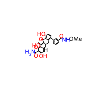 COCCNC(=O)c1cccc(-c2ccc(O)c3c2CC2C[C@H]4CC(O)=C(C(N)=O)C(=O)[C@@]4(O)C(C)=C2C3=O)c1